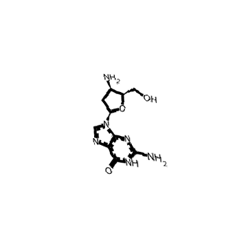 Nc1nc2c(ncn2[C@H]2C[C@@H](N)[C@@H](CO)O2)c(=O)[nH]1